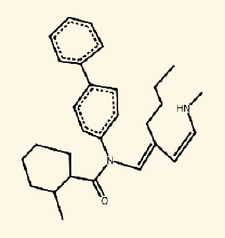 CCCCC(/C=C\NC)=C\N(C(=O)C1CCCCC1C)c1ccc(-c2ccccc2)cc1